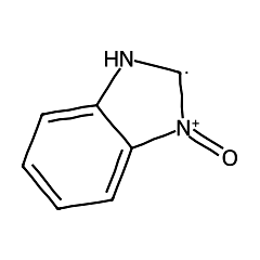 O=[N+]1[CH]Nc2ccccc21